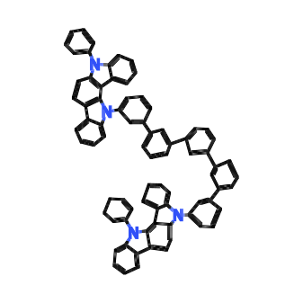 C1=CC(n2c3ccccc3c3ccc4c(c5ccccc5n4-c4cccc(-c5cccc(-c6cccc(-c7cccc(-c8cccc(-n9c%10ccccc%10c%10ccc%11c(c%12ccccc%12n%11-c%11ccccc%11)c%109)c8)c7)c6)c5)c4)c32)=CCC1